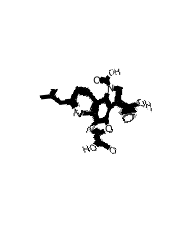 CC(C)Cc1ccc2c(n1)c1nc(C(=O)O)oc1c1c(C(=O)O)cn(C(=O)O)c21